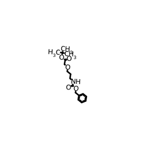 CC(C)(C)OC(=O)COCCCNC(=O)OCc1ccccc1